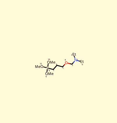 CCN(CC)COCCC[Si](OC)(OC)OC